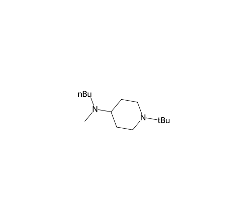 CCCCN(C)C1CCN(C(C)(C)C)CC1